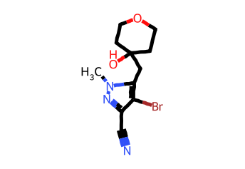 Cn1nc(C#N)c(Br)c1CC1(O)CCOCC1